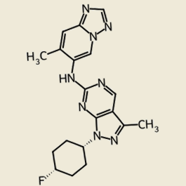 Cc1cc2ncnn2cc1Nc1ncc2c(C)nn([C@H]3CC[C@@H](F)CC3)c2n1